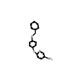 Nc1ccc(Oc2ccc(OCc3ccccc3)cc2)nc1